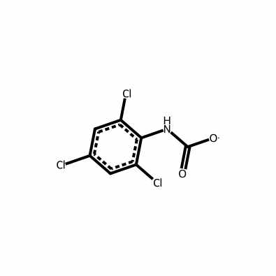 [O]C(=O)Nc1c(Cl)cc(Cl)cc1Cl